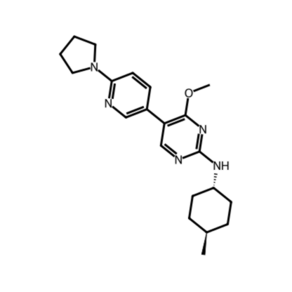 COc1nc(N[C@H]2CC[C@H](C)CC2)ncc1-c1ccc(N2CCCC2)nc1